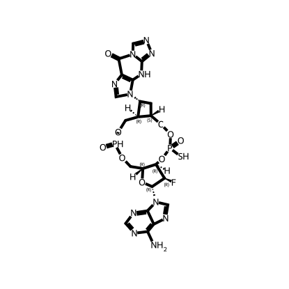 Nc1ncnc2c1ncn2[C@@H]1O[C@@H]2CO[PH](=O)OC[C@@H]3[C@@H](COP(=O)(S)O[C@H]2[C@H]1F)C[C@H]3n1cnc2c(=O)n3cnnc3[nH]c21